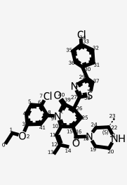 CCOc1ccc(Cl)c(-n2c(C=C(C)C)c(C(=O)N3CCN[C@@H](C)C3)cc(-c3nc(-c4ccc(Cl)cc4)cs3)c2=O)c1